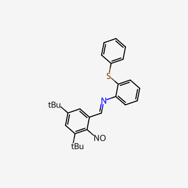 CC(C)(C)c1cc(/C=N/c2ccccc2Sc2ccccc2)c(N=O)c(C(C)(C)C)c1